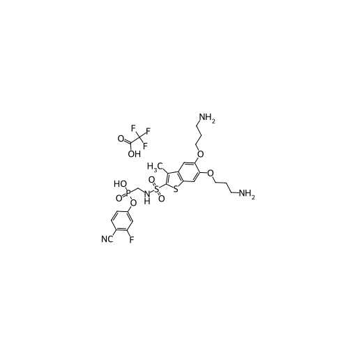 Cc1c(S(=O)(=O)NCP(=O)(O)Oc2ccc(C#N)c(F)c2)sc2cc(OCCCN)c(OCCCN)cc12.O=C(O)C(F)(F)F